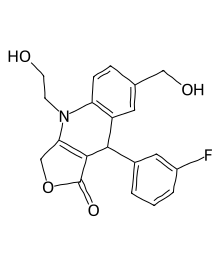 O=C1OCC2=C1C(c1cccc(F)c1)c1cc(CO)ccc1N2CCO